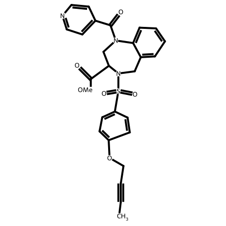 CC#CCOc1ccc(S(=O)(=O)N2Cc3ccccc3N(C(=O)c3ccncc3)CC2C(=O)OC)cc1